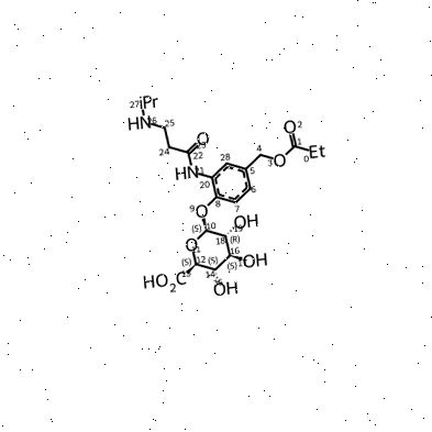 CCC(=O)OCc1ccc(O[C@@H]2O[C@H](C(=O)O)[C@@H](O)[C@H](O)[C@H]2O)c(NC(=O)CCNC(C)C)c1